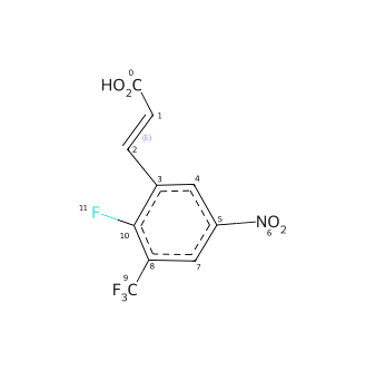 O=C(O)/C=C/c1cc([N+](=O)[O-])cc(C(F)(F)F)c1F